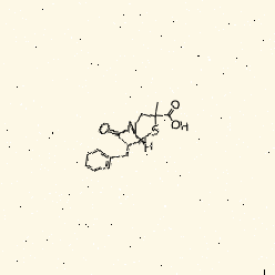 CC1(C(=O)O)CN2C(=O)C(Cc3ccccc3)[C@H]2S1